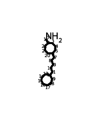 NCC1CCCC(CCCCCC2CCCCCCC2)CCC1